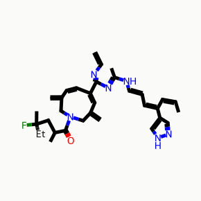 C=C/N=C(\N=C(/C)N/C=C/C=C(\C=C/C)c1cn[nH]c1)C1=C/C(=C)CN(C(=O)C(C)CC(C)(F)CC)CC(=C)/C=C\1